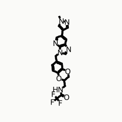 Cn1cc(-c2cnc3c(c2)ncn3Cc2ccc3c(c2)OCC(CNC(=O)C(F)(F)F)O3)cn1